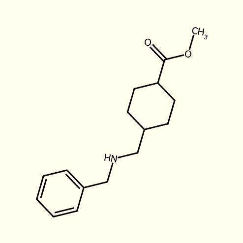 COC(=O)C1CCC(CNCc2ccccc2)CC1